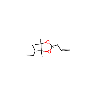 C=CCB1OC(C)(C)C(C)(C(C)CC)O1